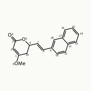 COC1=CC(=O)OC(C=Cc2ccc3ccccc3c2)C1